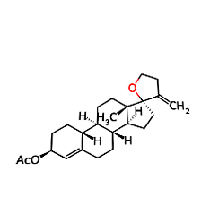 C=C1CCO[C@@]12CC[C@H]1[C@@H]3CCC4=C[C@@H](OC(C)=O)CC[C@@H]4[C@H]3CC[C@@]12C